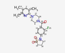 Cc1cc(C)c(N2CCN(C(=O)c3ccc(N4CCCS4(=O)=O)cc3F)CC2)nc1C